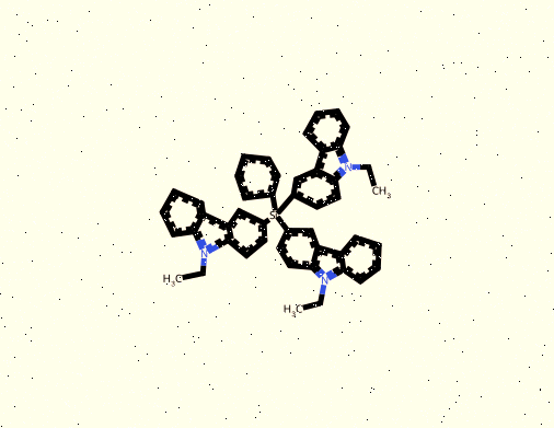 CCn1c2ccccc2c2cc([Si](c3ccccc3)(c3ccc4c(c3)c3ccccc3n4CC)c3ccc4c(c3)c3ccccc3n4CC)ccc21